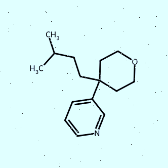 CC(C)CCC1(c2cccnc2)CCOCC1